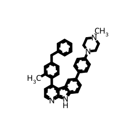 Cc1cc(Cc2ccccc2)ccc1-c1ccnc2[nH]c3ccc(-c4ccc(N5CCN(C)CC5)cc4)cc3c12